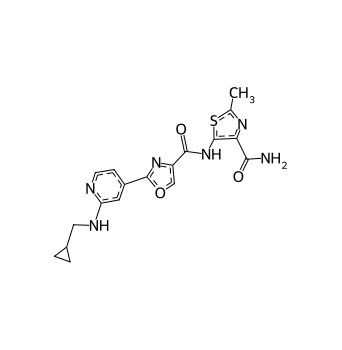 Cc1nc(C(N)=O)c(NC(=O)c2coc(-c3ccnc(NCC4CC4)c3)n2)s1